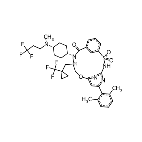 Cc1cccc(C)c1-c1cc2nc(n1)NS(=O)(=O)c1cccc(c1)C(=O)N([C@H]1CC[C@@H](N(C)CCC(F)(F)F)CC1)[C@H](CC1(C(F)(F)F)CC1)CO2